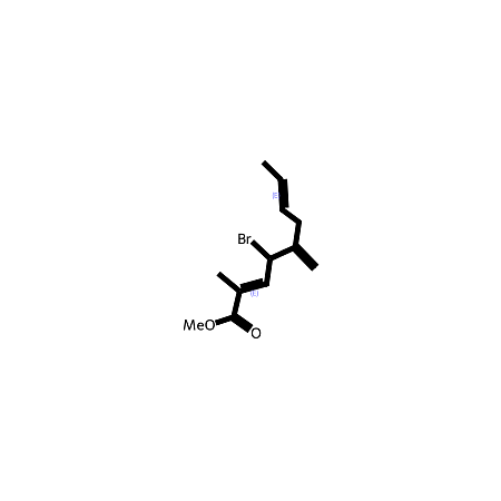 C=C(C/C=C/C)C(Br)/C=C(\C)C(=O)OC